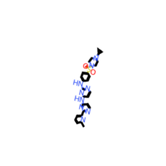 Cc1cccc(-c2nccc(Nc3ccnc(Nc4ccc(S(=O)(=O)N5CCN(C6CC6)CC5)cc4)n3)n2)n1